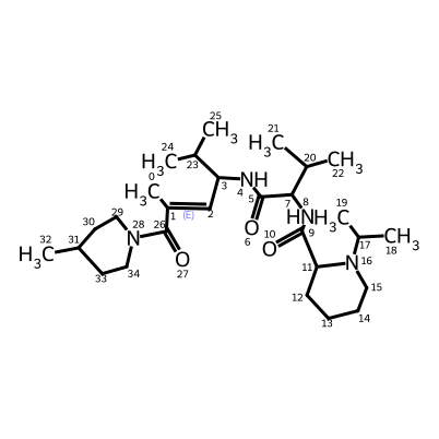 C/C(=C\C(NC(=O)C(NC(=O)C1CCCCN1C(C)C)C(C)C)C(C)C)C(=O)N1CCC(C)CC1